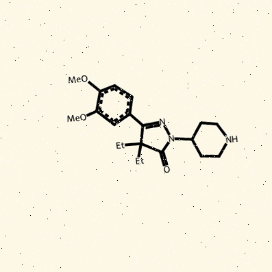 CCC1(CC)C(=O)N(C2CCNCC2)N=C1c1ccc(OC)c(OC)c1